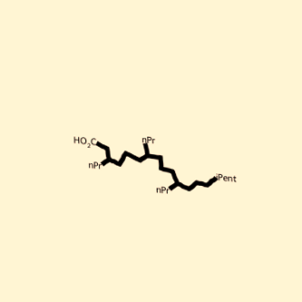 CCCC(C)CCCC(CCC)CCCC(CCC)CCCC(CCC)CC(=O)O